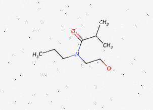 CCCN(CC[O])C(=O)C(C)C